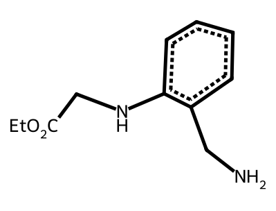 CCOC(=O)CNc1ccccc1CN